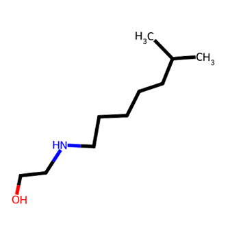 CC(C)CCCCCNCCO